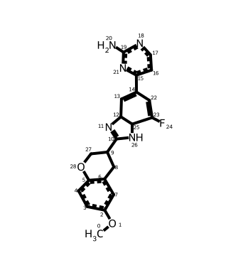 COc1ccc2c(c1)CC(C1=NC3C=C(c4ccnc(N)n4)C=C(F)C3N1)CO2